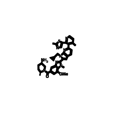 COc1cc(C(=O)N2C[C@H](N)CC[C@@H]2C)cc2nc(-c3cc4ccc(-c5c(C)ccnc5-c5cnc(C)s5)nc4n3CC3CC3)n(C)c12